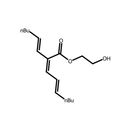 CCCCC=CC=C(C=CCCCC)C(=O)OCCO